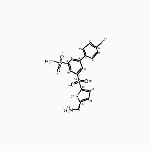 CS(=O)(=O)c1cc(-c2ccc(F)cc2)cc(S(=O)(=O)c2ccc(CN)s2)c1